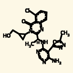 Cc1nnc(-c2c(N)ncnc2N[C@@H](C)c2nc3cccc(Cl)c3c(=O)n2C2CC2CO)o1